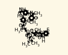 CCN(CC)CCN(C(=O)OCCN(C)C(=O)O[C@H]1CC[C@H](Nc2cc(-n3nc(C)c4c3CC(C)(C)CC4=O)ccc2C(N)=O)CC1)C(=O)c1c(C)[nH]c(/C=C2\C(=O)Nc3ccc(F)cc32)c1C